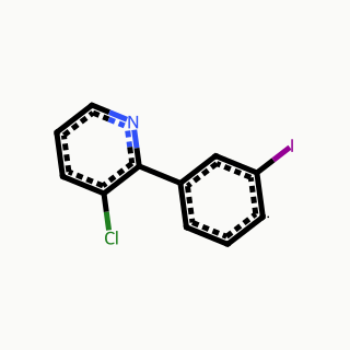 Clc1cccnc1-c1cc[c]c(I)c1